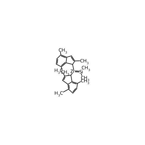 CC1=Cc2c(C)ccc(C)c2[CH]1[Zr]([CH]1C(C)=Cc2c(C)ccc(C)c21)=[Si](C)C